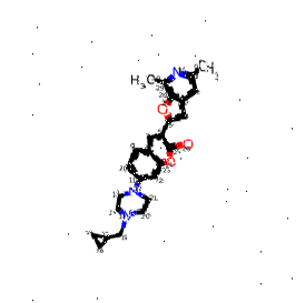 Cc1cc2cc(-c3cc4ccc(N5CCN(CC6CC6)CC5)cc4oc3=O)oc2c(C)n1